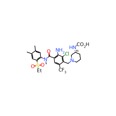 CCS(=O)(=O)c1cc(C)c(C)cc1N(C)C(=O)c1cc(C(F)(F)F)c(CN2CCC[C@@H](NC(=O)O)C2)c(Cl)c1N